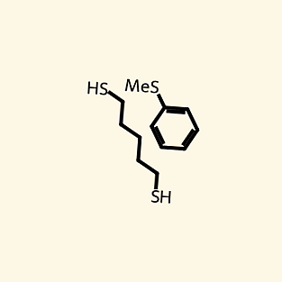 CSc1ccccc1.SCCCCCS